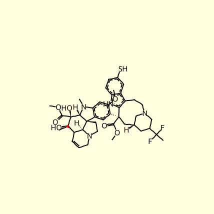 CC[C@]12C=CCN3CC[C@@]4(c5cc([C@@]6(C(=O)OC)C[C@H]7CC(C(C)(F)F)CN(CCc8c6[nH]c6ccc(S)cc86)C7)c(OC)cc5N(C)[C@H]4[C@@](O)(C(=O)OC)[C@@H]1O)[C@@H]32